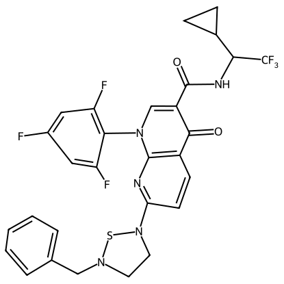 O=C(NC(C1CC1)C(F)(F)F)c1cn(-c2c(F)cc(F)cc2F)c2nc(N3CCN(Cc4ccccc4)S3)ccc2c1=O